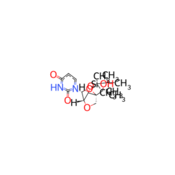 C[C@@H](O)[C@]12CO[C@H]([C@H](n3ccc(=O)[nH]c3=O)O1)[C@H]2O[Si](C)(C)C(C)(C)C